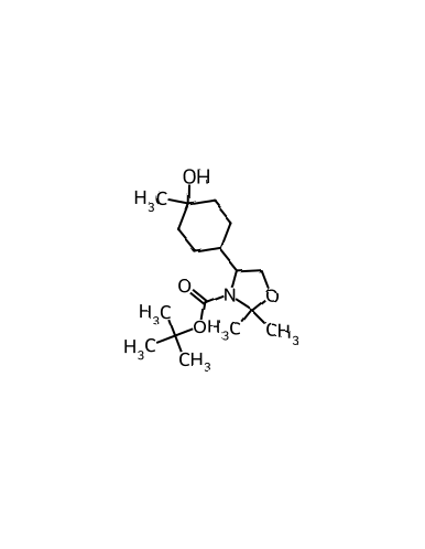 CC1(O)CCC(C2COC(C)(C)N2C(=O)OC(C)(C)C)CC1